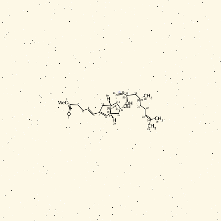 COC(=O)CCC=CC1=C[C@H]2C[C@@H](O)[C@@H](/C=C\[C@H](O)C[C@H](C)CCC=C(C)C)[C@H]2C1